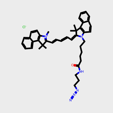 C[N+]1=C(/C=C/C=C/C=C2/N(CCCCCC(=O)NCCCN=[N+]=[N-])c3ccc4ccccc4c3C2(C)C)C(C)(C)c2c1ccc1ccccc21.[Cl-]